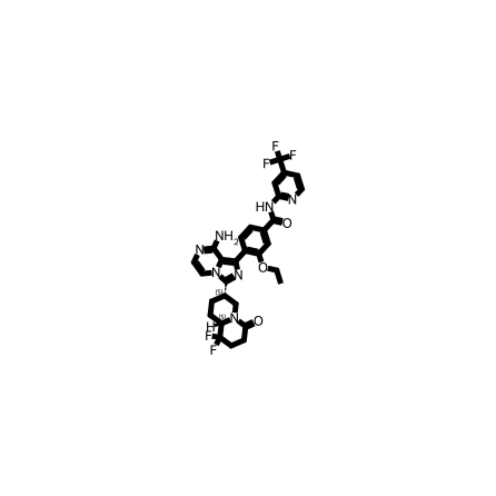 CCOc1cc(C(=O)Nc2cc(C(F)(F)F)ccn2)ccc1-c1nc([C@H]2CC[C@@H]3N(C2)C(=O)CCC3(F)F)n2ccnc(N)c12